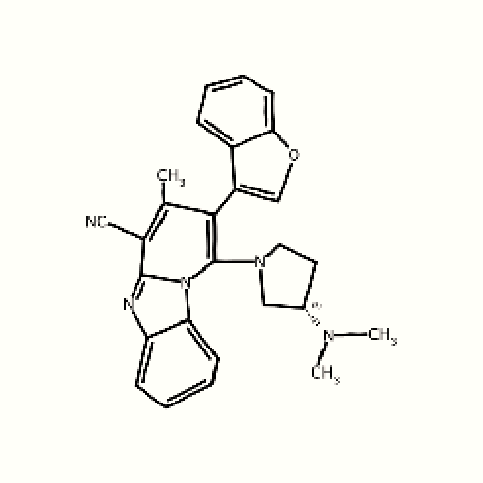 Cc1c(-c2coc3ccccc23)c(N2CC[C@H](N(C)C)C2)n2c(nc3ccccc32)c1C#N